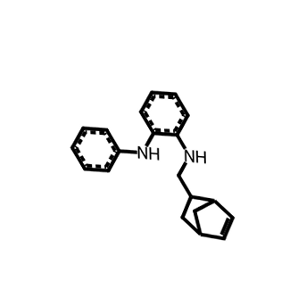 C1=CC2CC1CC2CNc1ccccc1Nc1ccccc1